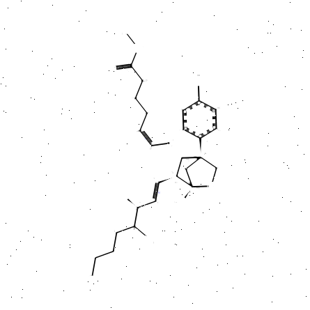 CCCCC(F)[C@@H](O)/C=C/[C@@H]1[C@@H]2C[C@@](c3ccc(F)cc3)(CO2)[C@H]1C/C=C\CCCC(=O)OC